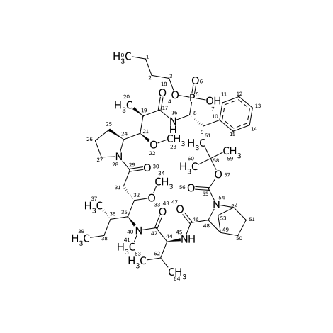 CCCCOP(=O)(O)[C@H](Cc1ccccc1)NC(=O)[C@H](C)[C@@H](OC)[C@@H]1CCCN1C(=O)C[C@H](OC)[C@H]([C@@H](C)CC)N(C)C(=O)[C@@H](NC(=O)C1C2CCC(C2)N1C(=O)OC(C)(C)C)C(C)C